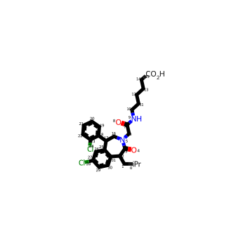 CC(C)CC1C(=O)N(CC(=O)NCCCCCC(=O)O)CC(c2ccccc2Cl)c2cc(Cl)ccc21